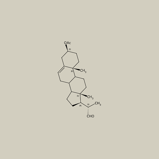 CC(=O)O[C@H]1CC[C@@]2(C)C(=CCC3C2CC[C@@]2(C)C3CC[C@@H]2[C@H](C)C=O)C1